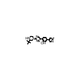 Cn1cc(-c2ccc(-c3cnc(N4CCNC(C(C)(C)C)C4)nn3)c(O)c2)cn1